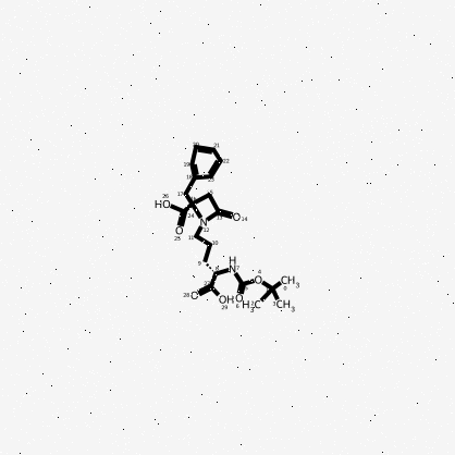 CC(C)(C)OC(=O)N[C@@H](CCCN1C(=O)CC1(Cc1ccccc1)C(=O)O)C(=O)O